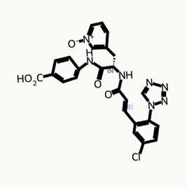 O=C(/C=C/c1cc(Cl)ccc1-n1cnnn1)N[C@@H](Cc1ccc[n+]([O-])c1)C(=O)Nc1ccc(C(=O)O)cc1